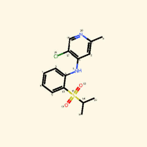 Cc1cc(Nc2ccccc2S(=O)(=O)C(C)C)c(Cl)cn1